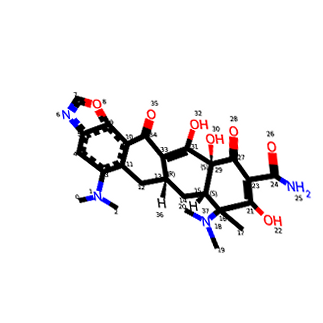 CN(C)c1cc2ncoc2c2c1C[C@H]1C[C@H]3C(C)(N(C)C)C(O)=C(C(N)=O)C(=O)[C@@]3(O)C(O)=C1C2=O